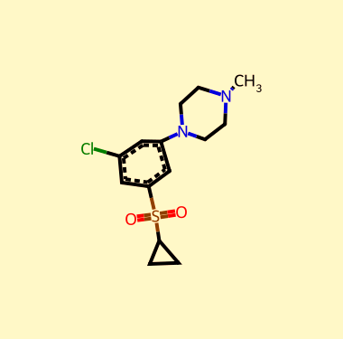 CN1CCN(c2cc(Cl)cc(S(=O)(=O)C3CC3)c2)CC1